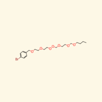 CCCCOCOCCOCOOCCOCCOCc1ccc(Br)cc1